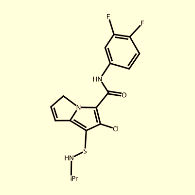 CC(C)NSc1c(Cl)c(C(=O)Nc2ccc(F)c(F)c2)n2c1C=CC2